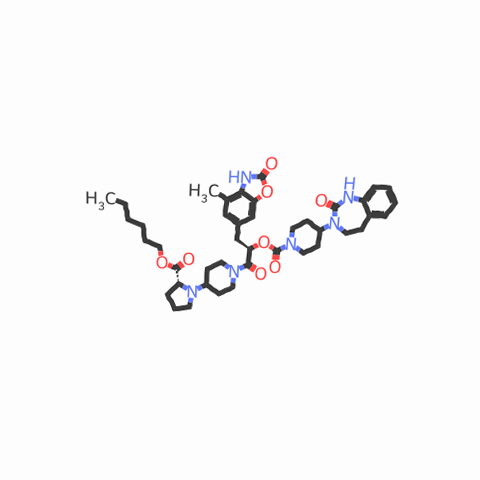 CCCCCCOC(=O)[C@H]1CCCN1C1CCN(C(=O)[C@@H](Cc2cc(C)c3[nH]c(=O)oc3c2)OC(=O)N2CCC(N3CCc4ccccc4NC3=O)CC2)CC1